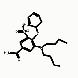 CCCCN(CCCC)c1cc(C(N)=O)cc(S(N)(=O)=O)c1OC1C=CC=CC1